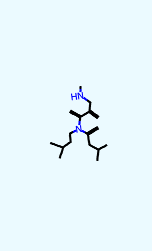 C=C(CNC)C(=C)N(CCC(C)C)C(=C)CC(C)C